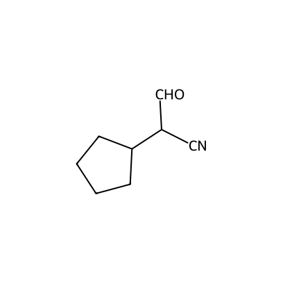 N#CC(C=O)C1CCCC1